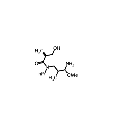 C=C(CO)C(=O)N(CCC)CC(C)[C@@H](N)OC